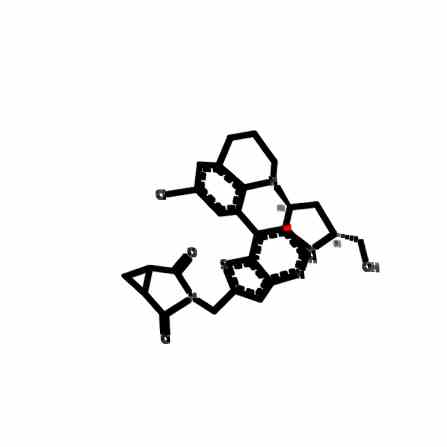 O=C1C2CC2C(=O)N1Cc1cc2nccc(-c3cc(Cl)cc4c3N([C@@H]3CN[C@@H](CO)C3)CCC4)c2s1